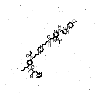 CCCC(c1ccc(N(CCCN2CCN(CCCNC(=O)c3nn(C(C)C)c4cc(Nc5ccnc(N6CCC(OC)CC6)n5)ncc34)CC2)C(=O)CC)cc1)N(C)C(=O)C(C#N)=Cc1nccs1